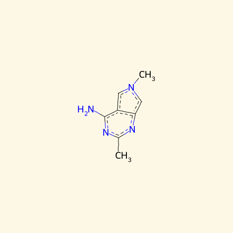 Cc1nc(N)c2cn(C)cc2n1